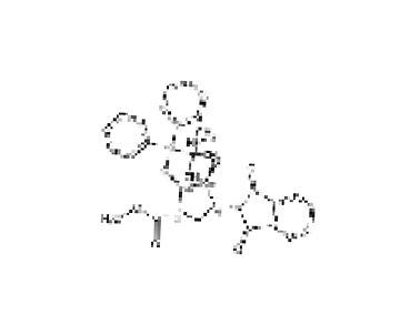 COC(=O)[C@H]1C[C@@H](N2C(=O)c3ccccc3C2=O)[C@H](OC)[C@@H]1O[Si](c1ccccc1)(c1ccccc1)C(C)(C)C